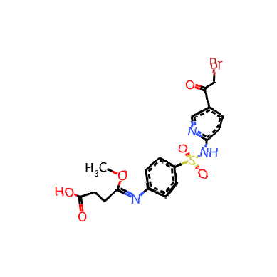 COC(CCC(=O)O)=Nc1ccc(S(=O)(=O)Nc2ccc(C(=O)CBr)cn2)cc1